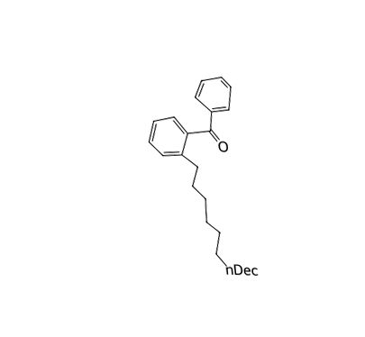 CCCCCCCCCCCCCCCCc1ccccc1C(=O)c1ccccc1